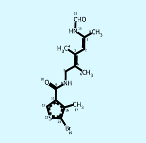 C/C(=C/C(C)=C(\C)CNC(=O)c1csc(Br)c1C)NC=O